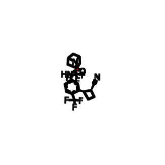 N#C[C@H]1CC[C@H]1c1cc(NC(=O)N2C3CC2CC(C(F)(F)F)C3)ccc1C(F)(F)F